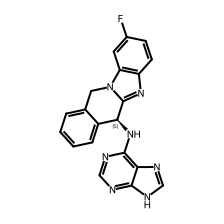 Fc1ccc2nc3n(c2c1)Cc1ccccc1[C@@H]3Nc1ncnc2[nH]cnc12